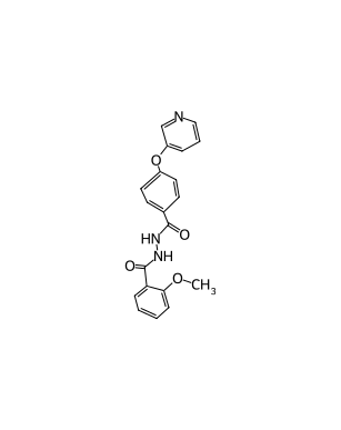 COc1ccccc1C(=O)NNC(=O)c1ccc(Oc2cccnc2)cc1